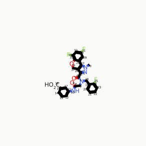 Cn1nc(C(=O)N(CC(=O)Nc2cccc(C(=O)O)c2)Cc2ccccc2F)c2c1-c1cc(F)cc(F)c1OC2